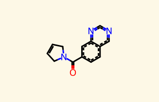 O=C(c1ccc2cncnc2c1)N1CC=CC1